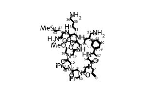 C=CCN(CC(=O)N(CC(=O)N(CC(=O)N(CCOC)CC(=O)N[C@@H](CCCCN)C(=O)N[C@@H](CCCCN)C(=O)N[C@@H](CCSC)C(N)=O)CC(C)C)CC(C)C)C(=O)CNC(C)c1ccccc1